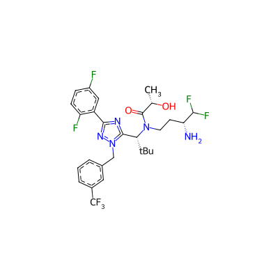 C[C@H](O)C(=O)N(CC[C@@H](N)C(F)F)[C@@H](c1nc(-c2cc(F)ccc2F)nn1Cc1cccc(C(F)(F)F)c1)C(C)(C)C